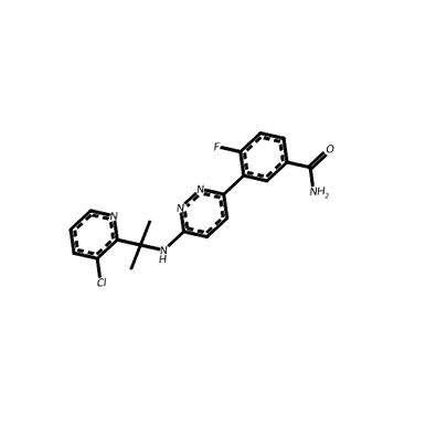 CC(C)(Nc1ccc(-c2cc(C(N)=O)ccc2F)nn1)c1ncccc1Cl